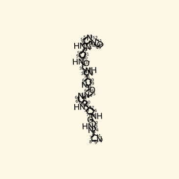 O=C(Cc1cc(-c2cccnc2)n[nH]1)Nc1ccc(-c2cc3c(N4CCOC(c5ccc(-c6cc(CC(=O)Nc7ccc(-c8nc9c(N%10CCOCC%10)nccc9[nH]8)cc7)[nH]n6)cn5)C4)nccc3[nH]2)cc1